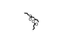 CCCOC(=O)C[C@@H](CC)OC(=O)CCC